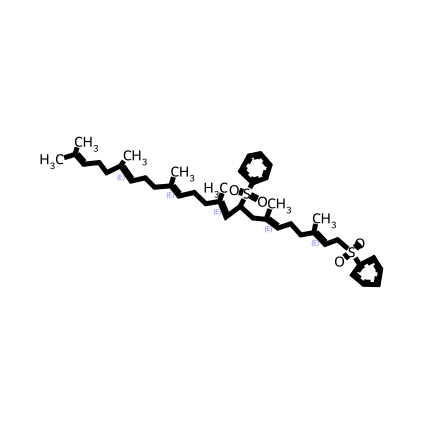 CC(C)=CCC/C(C)=C/CC/C(C)=C/CC/C(C)=C/C(C/C(C)=C/CC/C(C)=C/CS(=O)(=O)c1ccccc1)S(=O)(=O)c1ccccc1